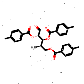 B[C@H](COC(=O)c1ccc(C)cc1)[C@H](OC(=O)c1ccc(C)cc1)[C@@H](C=O)OC(=O)c1ccc(C)cc1